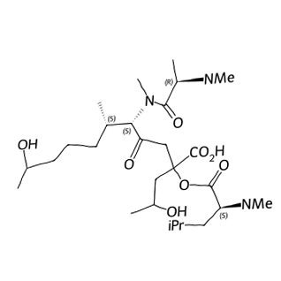 CN[C@@H](CC(C)C)C(=O)OC(CC(=O)[C@H]([C@@H](C)CCCC(C)O)N(C)C(=O)[C@@H](C)NC)(CC(C)O)C(=O)O